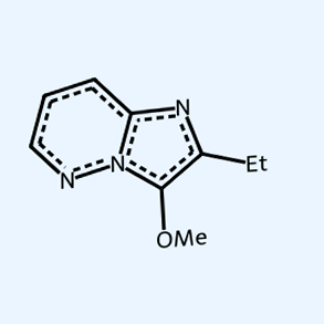 CCc1nc2cccnn2c1OC